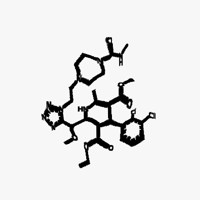 CCOC(=O)C1=C(C(OC)c2nnnn2CCN2CCN(C(=O)NC)CC2)NC(C)=C(C(=O)OC)C1c1cccc(Cl)c1Cl